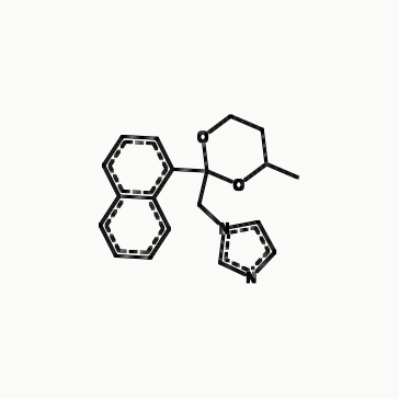 CC1CCOC(Cn2ccnc2)(c2cccc3ccccc23)O1